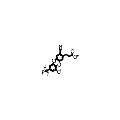 COC(=O)CCc1cc(Oc2c(Cl)cc(C(F)(F)F)cc2Cl)ccc1C#N